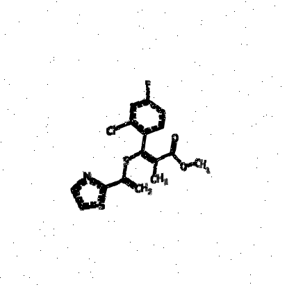 C=C(S/C(=C(\C)C(=O)OC)c1ccc(F)cc1Cl)c1nccs1